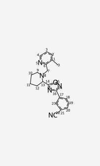 Cc1cccnc1CN1CCCCC1c1nc(-c2cccc(C#N)c2)no1